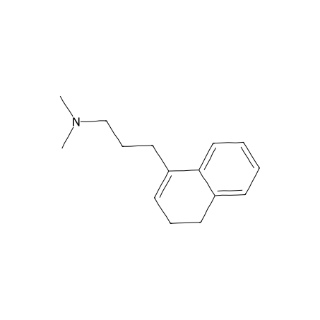 CN(C)CCCC1=CCCc2ccccc21